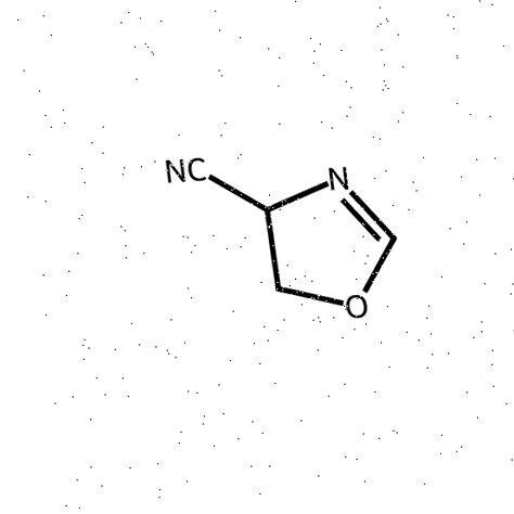 N#CC1COC=N1